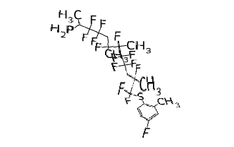 Cc1cc(F)ccc1SC(F)(F)C(C)(F)CC(F)(F)C(F)(F)C(C)(F)C(C)(F)CC(F)(F)C(F)(F)C(C)P